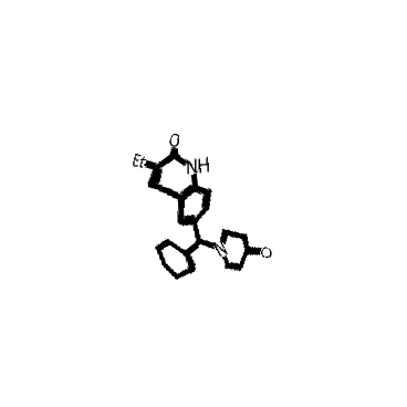 CCc1cc2cc(C(C3CCCCC3)N3CCC(=O)CC3)ccc2[nH]c1=O